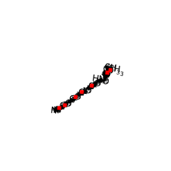 COC(OC)c1ccc(C(=O)NCCOCCOCCOCCOCCOCCOCCOCCOCCN=[N+]=[N-])cc1